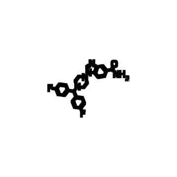 NC(=O)c1ccc2c(c1)ncn2N1CCN(C(c2ccc(F)cc2)c2ccc(F)cc2)CC1